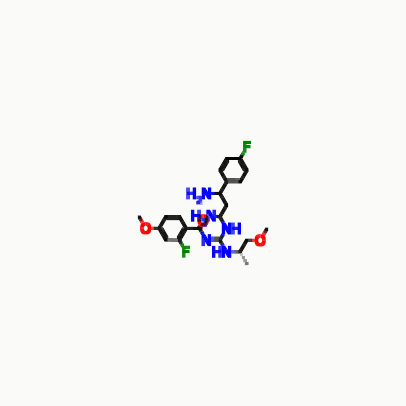 COC[C@H](C)N/C(=N/C(=O)c1ccc(OC)cc1F)NC(N)CC(N)c1ccc(F)cc1